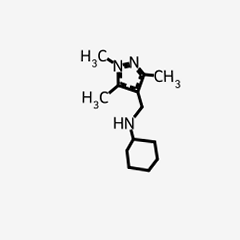 Cc1nn(C)c(C)c1CNC1CCCCC1